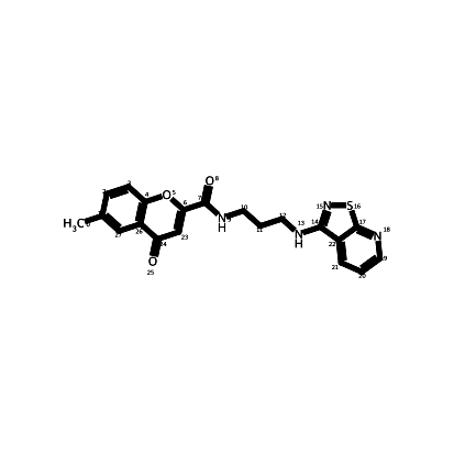 Cc1ccc2oc(C(=O)NCCCNc3nsc4ncccc34)cc(=O)c2c1